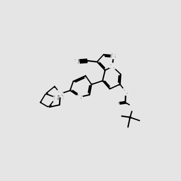 CC(C)(C)OC(=O)Nc1cc(-c2ccc(N3CC4CC(C3)N4)nc2)c2c(C#N)cnn2c1